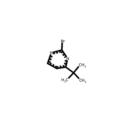 CC(C)(C)c1ccnc(Br)n1